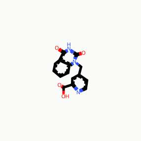 O=C(O)c1cc(Cn2c(=O)[nH]c(=O)c3ccccc32)ccn1